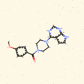 COc1ccc(C(=O)N2CCN(c3ncnc4[nH]ccc34)CC2)cc1